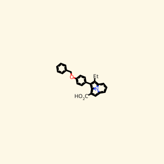 CCc1c(-c2ccc(OCc3ccccc3)cc2)c2c(C(=O)O)cc3cccc1n32